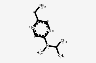 CC(C)N(C)c1cnc(CN)cn1